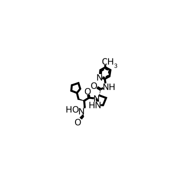 Cc1ccc(NC(=O)[C@@H]2CCNN2C(=O)[C@H](CC2CCCC2)CN(O)C=O)nc1